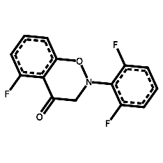 O=C1CN(c2c(F)cccc2F)Oc2cccc(F)c21